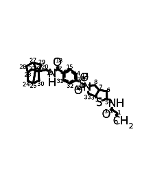 C=CC(=O)NC1CC2CN(S(=O)(=O)c3ccc(C(=O)NCC45CC6CC(CC(C6)C4)C5)cc3)CC2S1